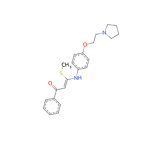 CSC(=CC(=O)c1ccccc1)Nc1ccc(OCCN2CCCC2)cc1